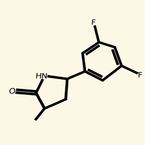 CC1CC(c2cc(F)cc(F)c2)NC1=O